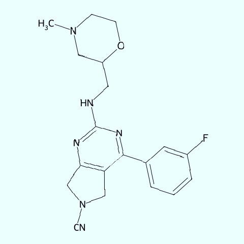 CN1CCOC(CNc2nc3c(c(-c4cccc(F)c4)n2)CN(C#N)C3)C1